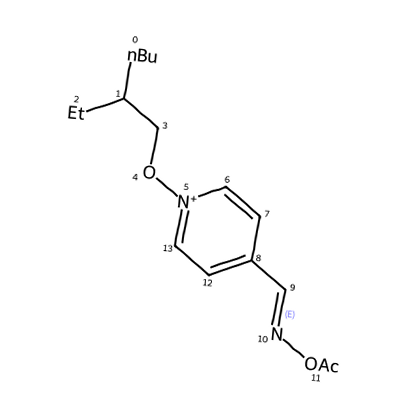 CCCCC(CC)CO[n+]1ccc(/C=N/OC(C)=O)cc1